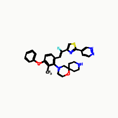 F/C(=C\c1ccc(Oc2ccccc2)c(C(F)(F)F)c1N1CCOC2(CCNCC2)C1)c1csc(-c2ccnnc2)n1